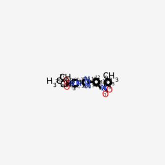 Cc1ccc2oc(=O)n(Cc3cccc(-c4ncc(N5CCN(C(=O)OC(C)(C)C)CC5)cn4)c3)c2c1